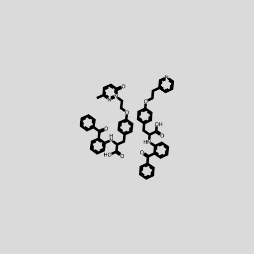 Cc1ccc(=O)n(CCOc2ccc(CC(Nc3ccccc3C(=O)c3ccccc3)C(=O)O)cc2)n1.O=C(c1ccccc1)c1ccccc1NC(Cc1ccc(OCCc2cccnc2)cc1)C(=O)O